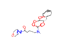 CN(CCCC(=O)N1CCOCC1)C(=O)O[C@@H](Cc1ccccc1)C(=O)O